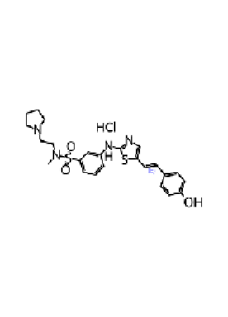 CN(CCN1CCCC1)S(=O)(=O)c1cccc(Nc2ncc(/C=C/c3ccc(O)cc3)s2)c1.Cl